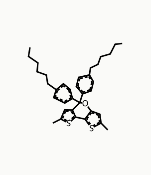 CCCCCCc1ccc(C2(c3ccc(CCCCCC)cc3)Oc3cc(C)sc3-c3sc(C)cc32)cc1